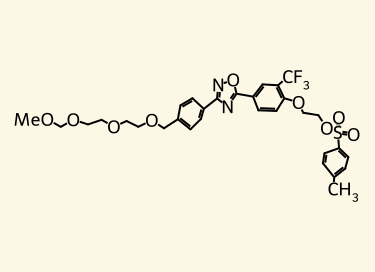 COCOCCOCCOCc1ccc(-c2noc(-c3ccc(OCCOS(=O)(=O)c4ccc(C)cc4)c(C(F)(F)F)c3)n2)cc1